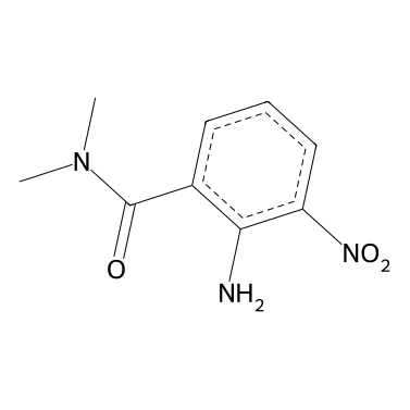 CN(C)C(=O)c1cccc([N+](=O)[O-])c1N